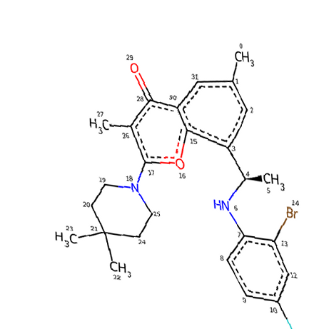 Cc1cc([C@@H](C)Nc2ccc(F)cc2Br)c2oc(N3CCC(C)(C)CC3)c(C)c(=O)c2c1